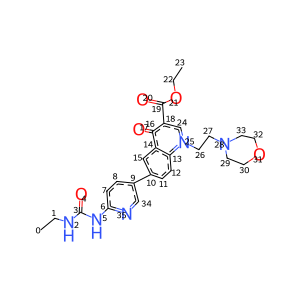 CCNC(=O)Nc1ccc(-c2ccc3c(c2)c(=O)c(C(=O)OCC)cn3CCN2CCOCC2)cn1